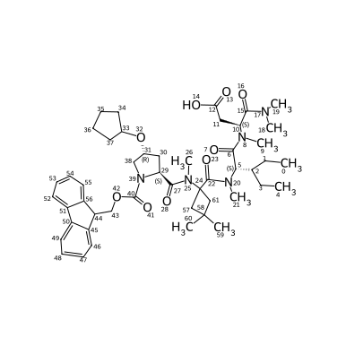 CCC(CC)[C@@H](C(=O)N(C)[C@@H](CC(=O)O)C(=O)N(C)C)N(C)C(=O)C1(N(C)C(=O)[C@@H]2C[C@@H](OC3CCCC3)CN2C(=O)OCC2c3ccccc3-c3ccccc32)CC(C)(C)C1